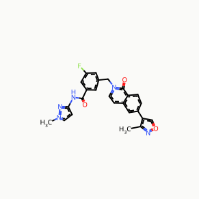 Cc1nocc1-c1ccc2c(=O)n(Cc3cc(F)cc(C(=O)Nc4ccn(C)n4)c3)ccc2c1